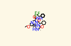 CCOC1C[C@@H]2CN(C(=O)[C@@H](NC(=O)[C@H](C)NC)C3CCCCC3)C(C(=O)NC(c3ccccc3)C(F)(F)F)CN2C1